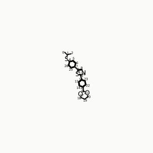 CC(C)Sc1ccc(-c2cnc(-c3ccc(C4OCCCO4)cc3)s2)cc1